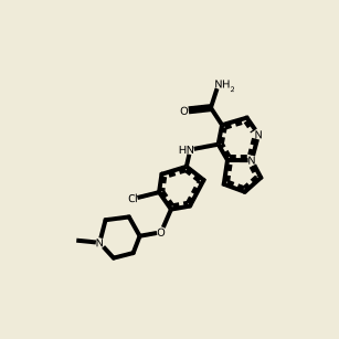 CN1CCC(Oc2ccc(Nc3c(C(N)=O)cnn4cccc34)cc2Cl)CC1